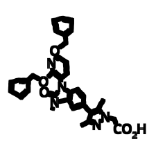 Cc1nn(CC(=O)O)c(C)c1-c1ccc2c(c1)n(C)c(=O)n2-c1ccc(OCc2ccccc2)nc1OCc1ccccc1